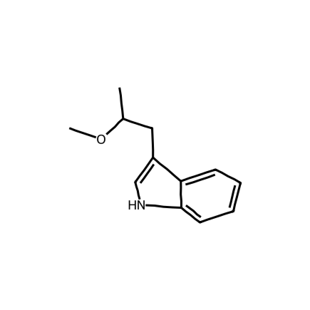 COC(C)Cc1c[nH]c2ccccc12